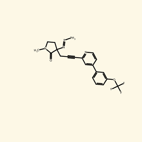 CN1CCC(CC#Cc2cc(-c3cccc(OC(F)(F)F)c3)ccn2)(N=PP)C1=O